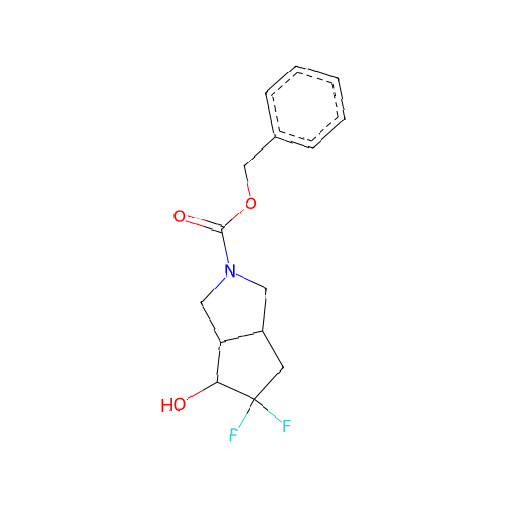 O=C(OCc1ccccc1)N1CC2CC(F)(F)C(O)C2C1